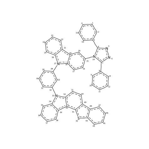 c1ccc(-c2nnc(-c3ccccc3)n2-c2ccc3c(c2)c2ccccc2n3-c2cccc(-n3c4ccccc4c4c5sc6ccccc6c5ccc43)c2)cc1